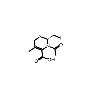 CC(=O)N1C(C(=O)O)=C(C)CS[C@@H]1CI